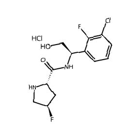 Cl.O=C(N[C@@H](CO)c1cccc(Cl)c1F)[C@@H]1C[C@@H](F)CN1